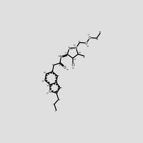 CCCc1cc2cc(CC(=O)N=C3SN(COOCC)C(C)C3Cl)ccc2o1